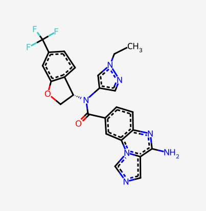 CCn1cc(N(C(=O)c2ccc3nc(N)c4cncn4c3c2)[C@@H]2COc3cc(C(F)(F)F)ccc32)cn1